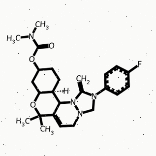 C=C1N(c2ccc(F)cc2)CN2CC=C3C([C@@H]4CCC(OC(=O)N(C)C)CC4OC3(C)C)N12